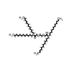 CCCCCCCCCCCCN(CCCCCCCCCCCC)C(=O)COCCOCC(=O)N(CCCCCCCCCCCC)CCCCCCCCCCCC